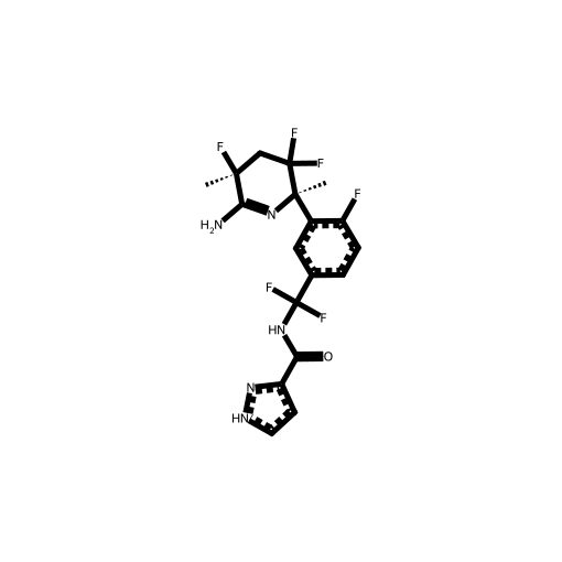 C[C@]1(F)CC(F)(F)[C@@](C)(c2cc(C(F)(F)NC(=O)c3cc[nH]n3)ccc2F)N=C1N